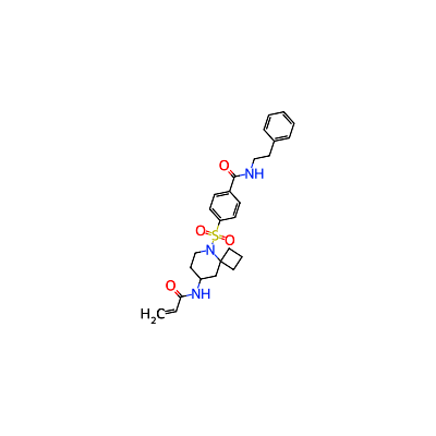 C=CC(=O)NC1CCN(S(=O)(=O)c2ccc(C(=O)NCCc3ccccc3)cc2)C2(CCC2)C1